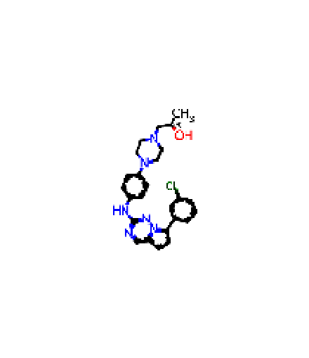 C[C@@H](O)CN1CCN(c2ccc(Nc3ncc4ccc(-c5cccc(Cl)c5)n4n3)cc2)CC1